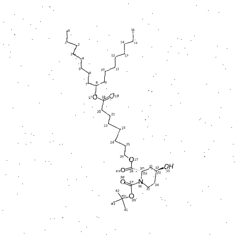 CCCCCCCCC(CCCCCCCC)OC(=O)CCCCCCCOC(=O)[C@@H]1C[C@@H](O)CCN1C(=O)OC(C)(C)C